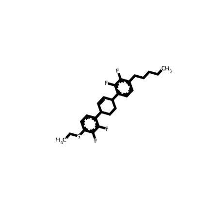 CCCCCc1ccc(C2C=CC(c3ccc(SCC)c(F)c3F)CC2)c(F)c1F